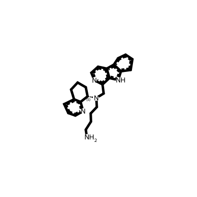 NCCCCN(Cc1nccc2c1[nH]c1ccccc12)[C@H]1CCCc2cccnc21